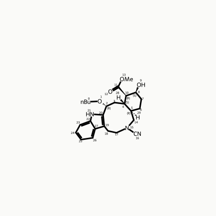 CCCCO[C@@H]1C[C@H]2[C@@H](CC[C@H](O)[C@@H]2C(=O)OC)CN(C#N)CCc2c1[nH]c1ccccc21